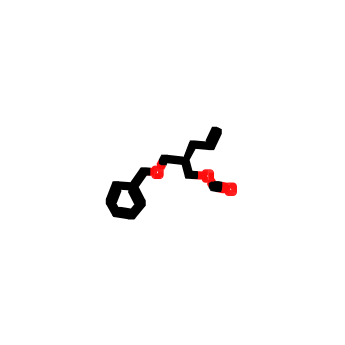 C=CC[C@@H](COC=O)COCc1ccccc1